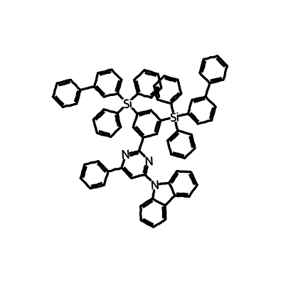 c1ccc(-c2cccc([Si](c3ccccc3)(c3ccccc3)c3cc(-c4nc(-c5ccccc5)cc(-n5c6ccccc6c6ccccc65)n4)cc([Si](c4ccccc4)(c4ccccc4)c4cccc(-c5ccccc5)c4)c3)c2)cc1